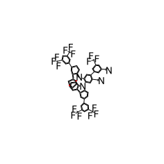 N#Cc1cc(-c2cc(-n3c4ccccc4c4cc(-c5cc(C(F)(F)F)cc(C(F)(F)F)c5)ccc43)c(-n3c4ccccc4c4cc(-c5cc(C(F)(F)F)cc(C(F)(F)F)c5)ccc43)cc2C#N)cc(C(F)(F)F)c1